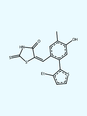 CCc1ccsc1-c1cc(O)c(C)cc1C=C1SC(=S)NC1=O